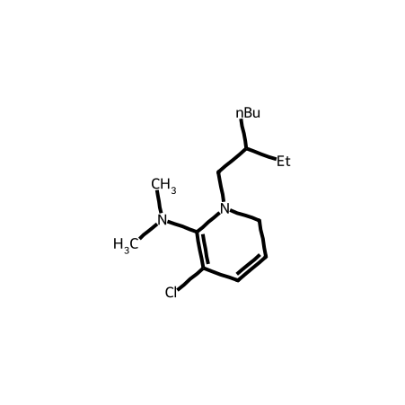 CCCCC(CC)CN1CC=CC(Cl)=C1N(C)C